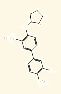 COc1ccc(-c2ccc(OC3CCCC3)c(C(=O)O)c2)cc1F